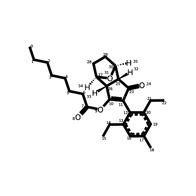 CCCCCCCC(=O)OC1=C(c2c(CC)cc(C)cc2CC)C(=O)[C@@H]2[C@H]1[C@H]1CC[C@@H]2O1